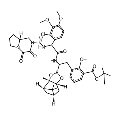 COc1ccc(C(NC(=O)N2C[C@H]3CCCN3C(=O)C2=O)C(=O)NC(Cc2cccc(C(=O)OC(C)(C)C)c2OC)B2O[C@@H]3C[C@@H]4C[C@@H](C4(C)C)[C@]3(C)O2)c(Cl)c1OC